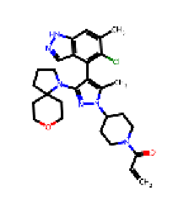 C=CC(=O)N1CCC(n2nc(N3CCCC34CCOCC4)c(-c3c(Cl)c(C)cc4[nH]ncc34)c2C)CC1